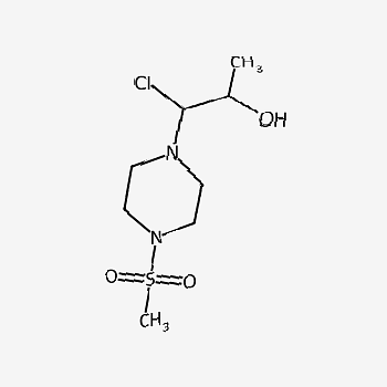 CC(O)C(Cl)N1CCN(S(C)(=O)=O)CC1